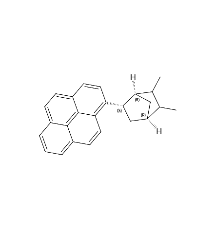 CC1C(C)[C@H]2C[C@@H]1C[C@@H]2c1ccc2ccc3cccc4ccc1c2c34